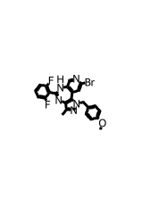 COc1ccc(Cn2nc(C)c3c2-c2cc(Br)ncc2NC(c2c(F)cccc2F)=N3)cc1